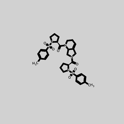 Cc1ccc(S(=O)(=O)N2CCC[C@H]2C(=O)N2CC3=CCCN(C(=O)[C@@H]4CCCN4S(=O)(=O)c4ccc(C)cc4)C3C2)cc1